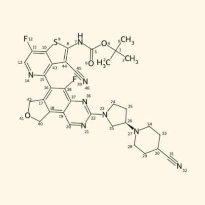 CC(C)(C)OC(=O)Nc1sc2c(F)cnc(-c3c4c(c5cnc(N6CC[C@@H](N7CCC(C#N)CC7)C6)nc5c3F)COC4)c2c1C#N